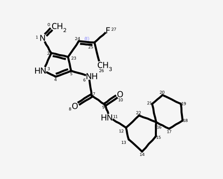 C=Nc1[nH]cc(NC(=O)C(=O)NC2CCCC3(CCCCC3)C2)c1/C=C(\C)F